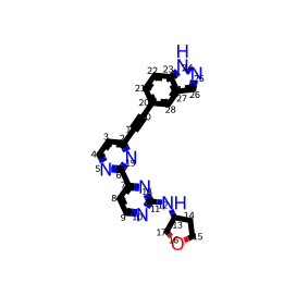 C(#Cc1ccnc(-c2ccnc(NC3CCOC3)n2)n1)c1ccc2[nH]ncc2c1